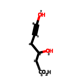 O=C(O)CC(O)CC#CO